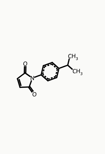 CC(C)c1ccc(N2C(=O)C=CC2=O)cc1